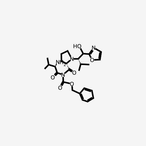 CC(C)[C@@H](C(O)c1ncco1)N1CCC[C@H]1C(=O)N(C(=O)OCc1ccccc1)C(=O)[C@@H](N)C(C)C